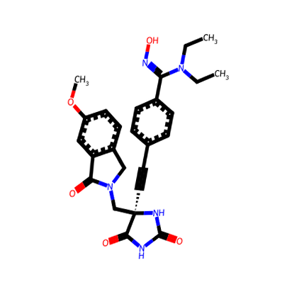 CCN(CC)C(=NO)c1ccc(C#C[C@]2(CN3Cc4ccc(OC)cc4C3=O)NC(=O)NC2=O)cc1